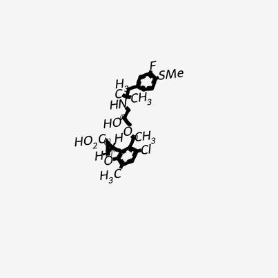 CSc1ccc(CC(C)(C)NC[C@@H](O)CO[C@H](C)c2c(Cl)cc(C)c3c2[C@@H]2[C@H](O3)[C@H]2C(=O)O)cc1F